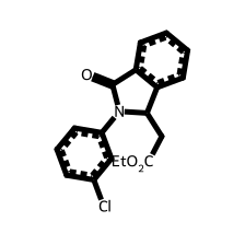 CCOC(=O)CC1c2ccccc2C(=O)N1c1cccc(Cl)c1